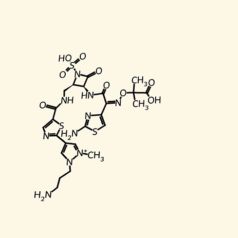 C[n+]1cc(-c2ncc(C(=O)NC[C@@H]3[C@H](NC(=O)/C(=N\OC(C)(C)C(=O)O)c4csc(N)n4)C(=O)N3S(=O)(=O)O)s2)cn1CCCN